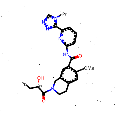 COc1cc2c(cc1C(=O)Nc1cccc(-c3nncn3C(C)C)n1)CN(C(=O)[C@@H](O)CC(C)C)CC2